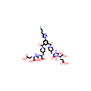 O=C(O)CC[C@H](NC(=O)N[C@@H](CC1CCN(C(=O)c2cc(C(=O)N3CCC(C[C@H](NC(=O)N[C@@H](CCC(=O)O)C(=O)O)C(=O)O)CC3)cc(-n3cc(CCCF)nn3)c2)CC1)C(=O)O)C(=O)O